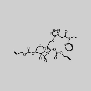 C=CCOC(=O)OC1=C(CSc2nnnn2CC(=O)N(CC)c2ccccc2)C2OCN(OC(=O)OCC=C)[C@@H]3C(=O)N1[C@H]23